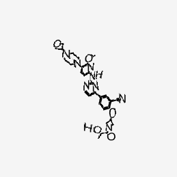 COc1nc(Nc2nccc(-c3ccc(OC4CN(C(=O)C(C)O)C4)c(C#N)c3)n2)ccc1N1CCN(C2COC2)CC1